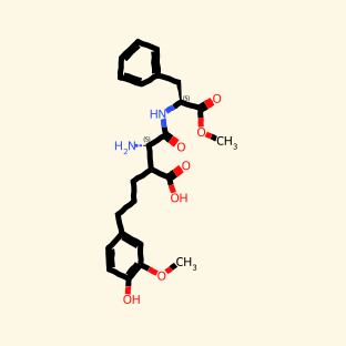 COC(=O)[C@H](Cc1ccccc1)NC(=O)[C@@H](N)C(CCCc1ccc(O)c(OC)c1)C(=O)O